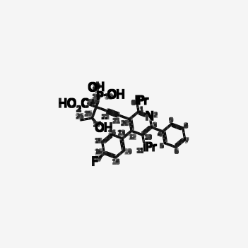 CC(C)c1nc(-c2ccccc2)c(C(C)C)c(-c2ccc(F)cc2)c1C#CC(C(=O)O)(C(C)O)[PH](=O)O